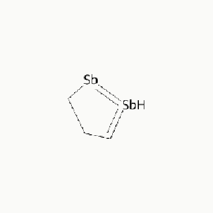 [CH]1=[SbH]=[Sb][CH2]C1